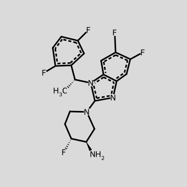 C[C@H](c1cc(F)ccc1F)n1c(N2CC[C@@H](F)[C@H](N)C2)nc2cc(F)c(F)cc21